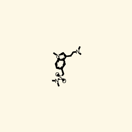 CN(C)CCc1cn(C)c2ccc(CS(=O)(=O)N(C)C)cc12